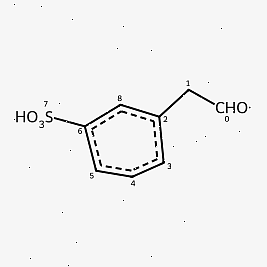 O=[C]Cc1cccc(S(=O)(=O)O)c1